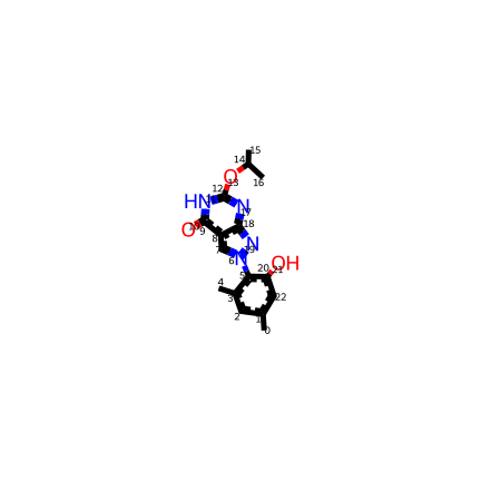 Cc1cc(C)c(-n2cc3c(=O)[nH]c(OC(C)C)nc3n2)c(O)c1